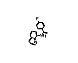 C=C(Nc1cccc2cccnc12)c1ccc(F)cc1